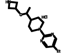 CCc1cnc(N2CCC(C(C)OC3CNC3)CC2)nc1.Cl